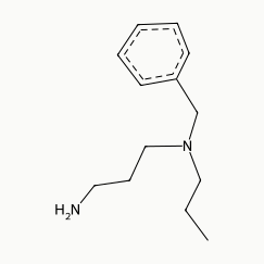 CCCN(CCCN)Cc1ccccc1